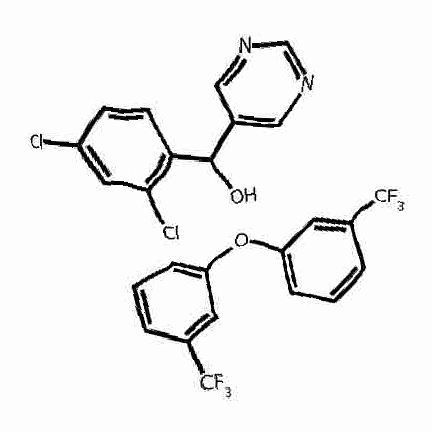 FC(F)(F)c1cccc(Oc2cccc(C(F)(F)F)c2)c1.OC(c1cncnc1)c1ccc(Cl)cc1Cl